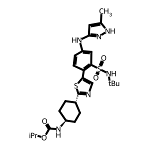 Cc1cc(Nc2ccc(-c3cnc([C@H]4CC[C@H](NC(=O)OC(C)C)CC4)s3)c(S(=O)(=O)NC(C)(C)C)c2)n[nH]1